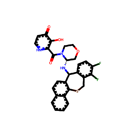 O=C(c1[nH]ccc(=O)c1O)N1CCOC[C@@H]1NC1c2ccc(F)c(F)c2CSc2c1ccc1ccccc21